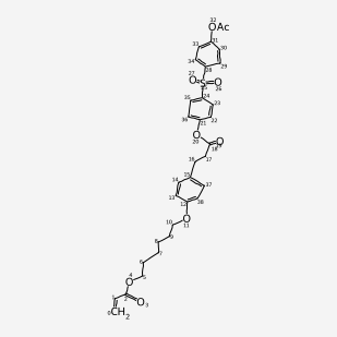 C=CC(=O)OCCCCCCOc1ccc(CCC(=O)Oc2ccc(S(=O)(=O)c3ccc(OC(C)=O)cc3)cc2)cc1